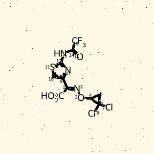 O=C(O)C(=NOC1CC1(Cl)Cl)c1csc(NC(=O)C(F)(F)F)n1